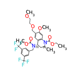 CCOC(=O)N1c2cc(OC)c(COCCOC)cc2[C@@H](N(Cc2cc(C(F)(F)F)cc(C(F)(F)F)c2)C(=O)OC)C[C@H]1C